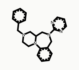 c1ccc(CN2CCN3c4ccccc4CN(c4ncccn4)CC3C2)cc1